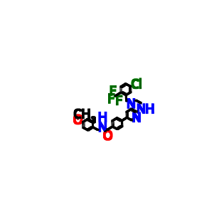 COc1ccc(CNC(=O)c2ccc(-c3cnc4c(c3)N(Cc3cc(Cl)ccc3C(F)(F)F)CCN4)cc2)cc1